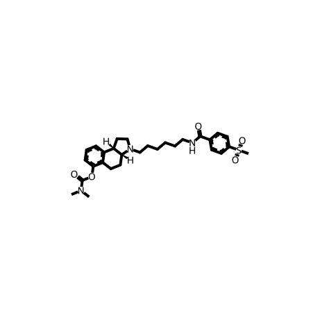 CN(C)C(=O)Oc1cccc2c1CC[C@@H]1[C@H]2CCN1CCCCCCNC(=O)c1ccc(S(C)(=O)=O)cc1